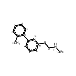 Cc1ccccc1-c1cccc(CCNC(C)(C)C)n1